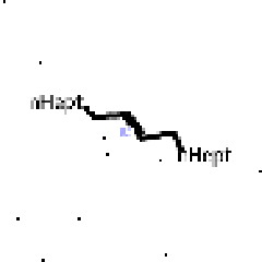 [CH2]CCCCCCC/C=C/CCCCCCCC